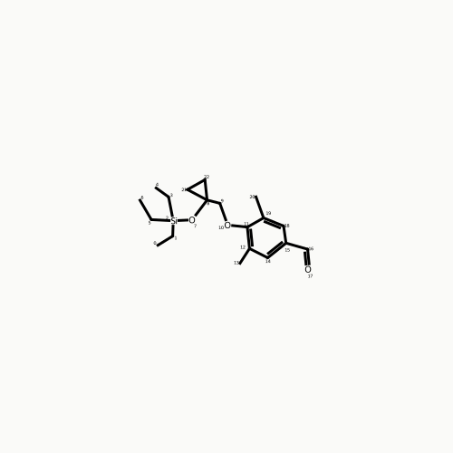 CC[Si](CC)(CC)OC1(COc2c(C)cc(C=O)cc2C)CC1